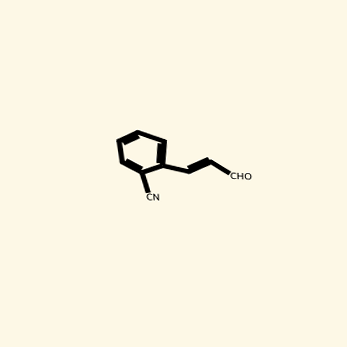 N#Cc1ccccc1C=CC=O